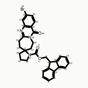 O=C(OCC1c2ccccc2-c2ccccc21)N1CCCC12CCc1nc3cc(Br)ccc3c(=O)n1CC2